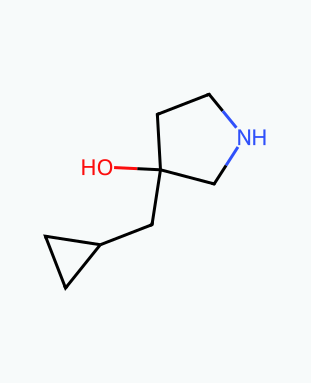 OC1(CC2CC2)CCNC1